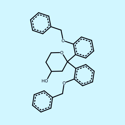 OC1CCOC(c2ccccc2OCc2ccccc2)(c2ccccc2OCc2ccccc2)C1